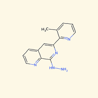 Cc1cccnc1-c1cc2cccnc2c(NN)n1